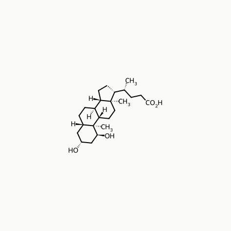 C[C@H](CCC(=O)O)[C@H]1CC[C@H]2[C@@H]3CC[C@H]4C[C@@H](O)C[C@H](O)[C@]4(C)[C@H]3CC[C@]12C